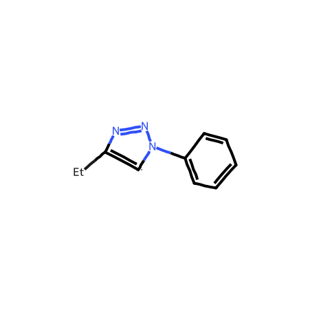 CCc1[c]n(-c2ccccc2)nn1